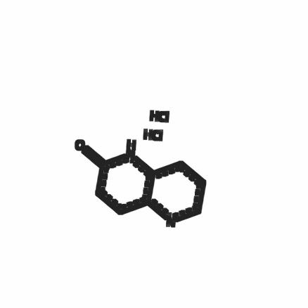 Cl.Cl.O=c1ccc2ncccc2[nH]1